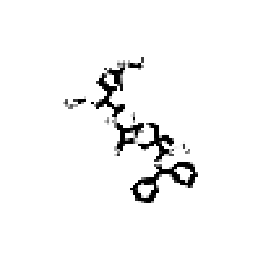 C=CC1(C(=O)OC(c2ccccc2)c2ccccc2)CS[C@@H]2C(NC(=O)C(=NOC)c3csc(NC=O)n3)C(=O)N2C1